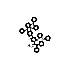 CC1c2cc3oc4cc5c(cc4c3cc2B2c3ccccc3N(c3ccccc3)c3cccc(c32)C1c1ccccc1)B1c2ccccc2N(c2ccccc2)c2cccc(c21)N5c1ccccc1